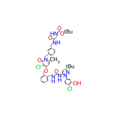 Cc1cc(OCc2ccccc2CNC(=O)Nc2cc(C(C)(C)C)nn2-c2ccc(Cl)c(O)c2)c(Cl)c(=O)n1Cc1cccc(CNC(=O)CNC(=O)OC(C)(C)C)c1